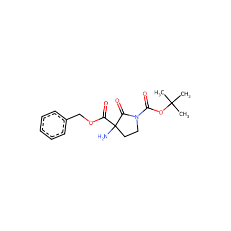 CC(C)(C)OC(=O)N1CCC(N)(C(=O)OCc2ccccc2)C1=O